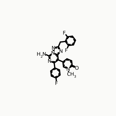 Cn1cc(-c2c(-c3ccc(F)cc3)nc(N)n3nc(Cc4c(F)cccc4F)nc23)ccc1=O